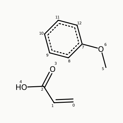 C=CC(=O)O.COc1ccccc1